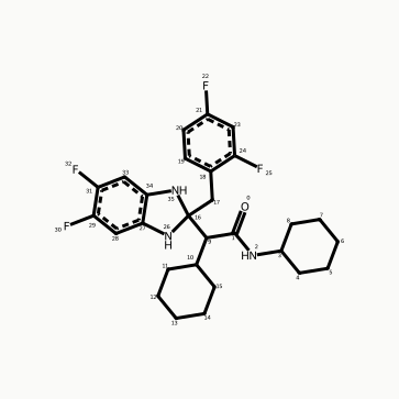 O=C(NC1CCCCC1)C(C1CCCCC1)C1(Cc2ccc(F)cc2F)Nc2cc(F)c(F)cc2N1